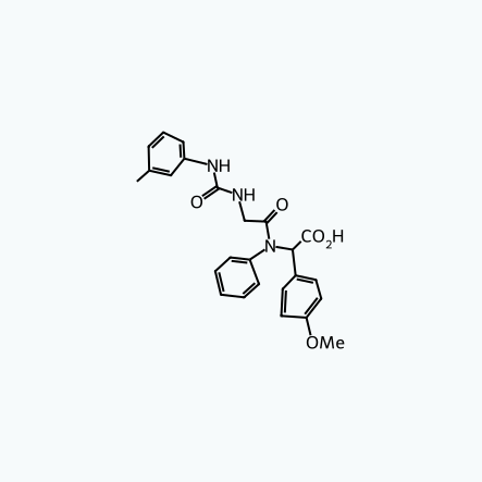 COc1ccc(C(C(=O)O)N(C(=O)CNC(=O)Nc2cccc(C)c2)c2ccccc2)cc1